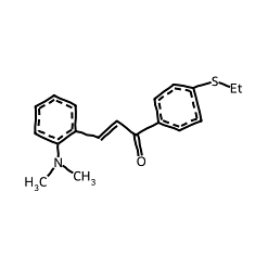 CCSc1ccc(C(=O)C=Cc2ccccc2N(C)C)cc1